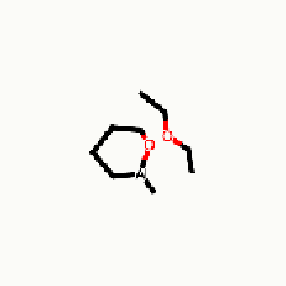 CCOCC.[CH3][Al]1[CH2]CCC[O]1